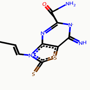 CC=Cn1c2c(sc1=S)C(=N)[N]C(C(N)=O)=N2